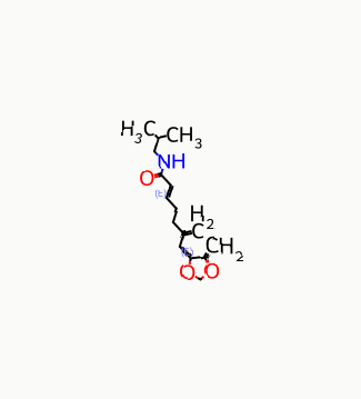 C=C(/C=C1/OCOC1=C)CC/C=C/C(=O)NCC(C)C